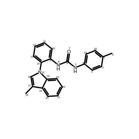 Cc1ccc(NC(=O)Nc2ccccc2-n2cc(C)c3ccccc32)cc1